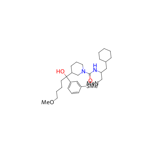 CNCC(CC1CCCCC1)NC(=O)N1CCCC(C(O)(CCCCOC)c2cccc(SC)c2)C1